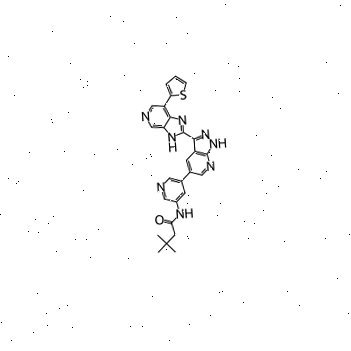 CC(C)(C)CC(=O)Nc1cncc(-c2cnc3[nH]nc(-c4nc5c(-c6cccs6)cncc5[nH]4)c3c2)c1